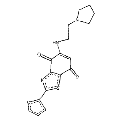 O=C1C(NCCN2CCCC2)=CC(=O)c2sc(-c3ccco3)nc21